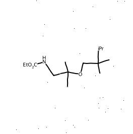 CCOC(=O)NCC(C)(C)OCC(C)(C)C(C)C